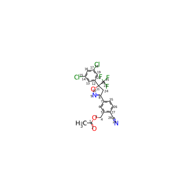 CC(=O)OCc1cc(C2=NOC(c3cc(Cl)cc(Cl)c3)(C(F)(F)F)C2)ccc1C#N